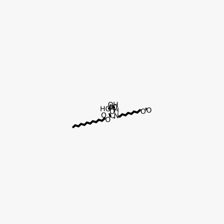 CCCCCCCCCCCC(=O)O[C@@H](CNCCCCCCCCOC=O)COP(=O)(O)O